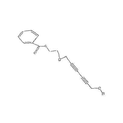 [CH2]COCC#CC#CCOCCOC(=O)c1ccccc1